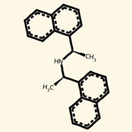 C[C@@H](N[C@H](C)c1cccc2ccccc12)c1cccc2ccccc12